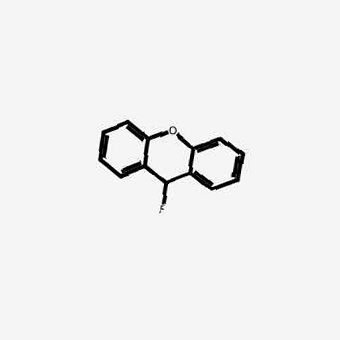 FC1c2ccccc2Oc2ccccc21